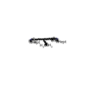 CCCCCCCC(F)(F)/C=C\COC(=O)CCCCCCCC(CCCCCCCC(=O)OC/C=C\C(F)(F)CCCCCCC)CCCCN(C)C